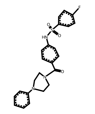 O=C(c1ccc(NS(=O)(=O)c2ccc(F)cc2)cc1)N1CCN(c2ccccc2)CC1